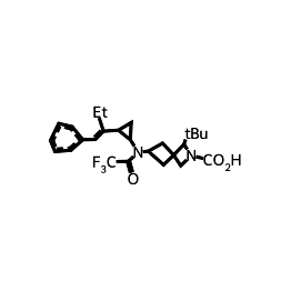 CCC(=Cc1ccccc1)C1CC1N(C(=O)C(F)(F)F)C1CC2(C1)CN(C(=O)O)C2C(C)(C)C